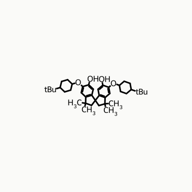 CC1(C)CC2(CC(C)(C)c3cc(OC4CCC(C(C)(C)C)CC4)c(O)cc32)c2cc(O)c(OC3CCC(C(C)(C)C)CC3)cc21